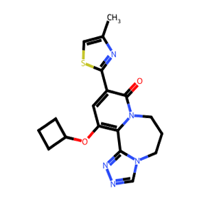 Cc1csc(-c2cc(OC3CCC3)c3n(c2=O)CCCn2cnnc2-3)n1